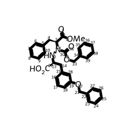 COC(=O)[C@H](Cc1ccccc1)N(N[C@@H](Cc1cccc(OCc2ccccc2)c1)C(=O)O)C(=O)OCc1ccccc1